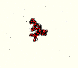 c1ccc(-c2ccc3c(c2)c2cc(-c4ccccc4)ccc2n3-c2ccc(C3CC(c4ccc5c(c4)C(c4ccccc4)(c4ccccc4)c4ccccc4-5)=NC(c4ccc(-c5ccncc5-c5cccc(-c6cc(-c7ccc(-c8cccc(-n9c%10ccccc%10c%10ccccc%109)c8)c8ccccc78)nc(-c7ccccc7)n6)c5)cc4)=N3)c3ccccc23)cc1